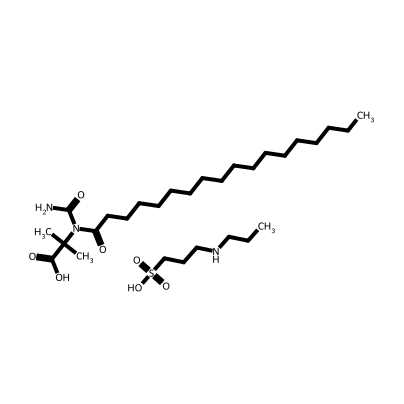 CCCCCCCCCCCCCCCCCC(=O)N(C(N)=O)C(C)(C)C(=O)O.CCCNCCCS(=O)(=O)O